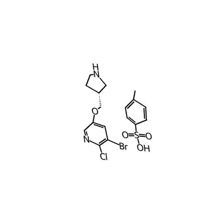 Cc1ccc(S(=O)(=O)O)cc1.Clc1ncc(OC[C@@H]2CCNC2)cc1Br